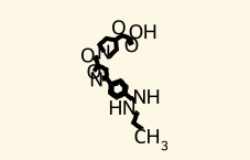 CCCCNC(=N)c1ccc(C2=NOC(C(=O)N3CCC(C(=O)C(=O)O)CC3)C2)cc1